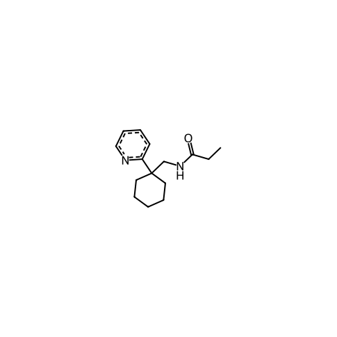 CCC(=O)NCC1(c2ccccn2)CCCCC1